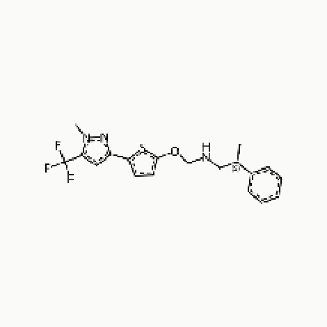 C[C@H](CNCOc1ccc(-c2cc(C(F)(F)F)n(C)n2)s1)c1ccccc1